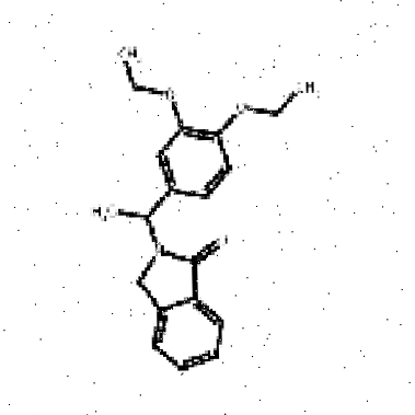 CCOc1ccc(C(C)N2Cc3ccccc3C2=O)cc1OCC